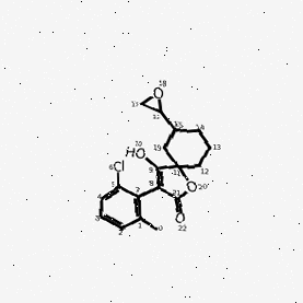 Cc1cccc(Cl)c1C1=C(O)C2(CCCC(C3CO3)C2)OC1=O